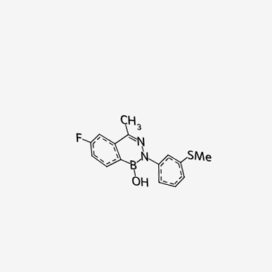 CSc1cccc(N2N=C(C)c3cc(F)ccc3B2O)c1